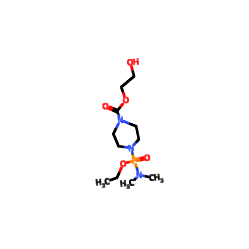 CCOP(=O)(N(C)C)N1CCN(C(=O)OCCO)CC1